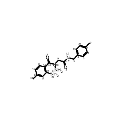 Cc1ccc(CNC(=O)CN(N)C(=O)c2ccc(C)cc2N)cc1